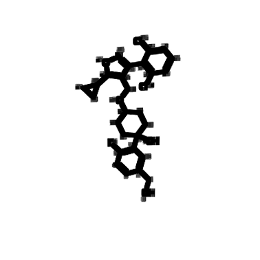 OCc1ccc(F)c(C2(O)CCC(OCc3c(-c4c(Cl)cccc4Cl)noc3C3CC3)CC2)c1